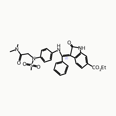 CCOC(=O)c1ccc2c(c1)NC(=O)/C2=C(\Nc1ccc(N(CC(=O)N(C)C)S(C)(=O)=O)cc1)c1ccccc1